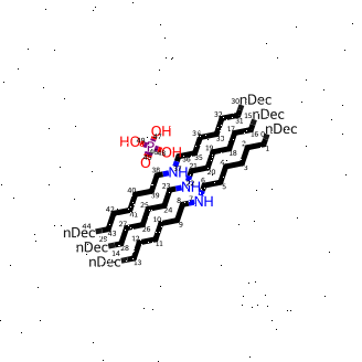 CCCCCCCCCCCCCCCCNCCCCCCCCCCCCCCCC.CCCCCCCCCCCCCCCCNCCCCCCCCCCCCCCCC.CCCCCCCCCCCCCCCCNCCCCCCCCCCCCCCCC.O=P(O)(O)O